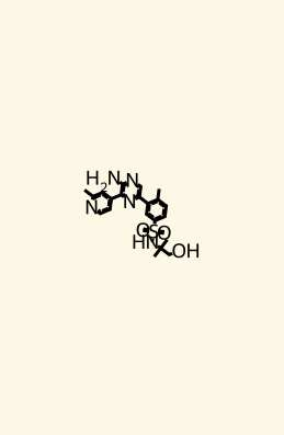 Cc1cc(-c2nc(-c3cc(S(=O)(=O)NC(C)(C)CO)ccc3C)cnc2N)ccn1